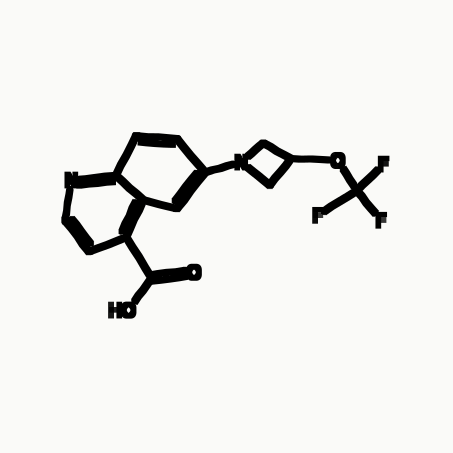 O=C(O)c1ccnc2ccc(N3CC(OC(F)(F)F)C3)cc12